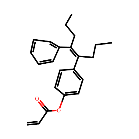 C=CC(=O)Oc1ccc(C(CCC)=C(CCC)c2ccccc2)cc1